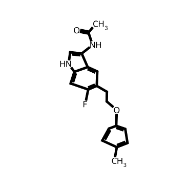 CC(=O)Nc1c[nH]c2cc(F)c(CCOc3ccc(C)cc3)cc12